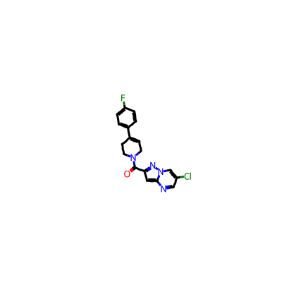 O=C(c1cc2ncc(Cl)cn2n1)N1CC=C(c2ccc(F)cc2)CC1